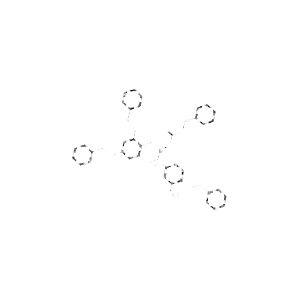 O=C(OCc1ccccc1)O[C@@H]1Cc2c(OCc3ccccc3)cc(OCc3ccccc3)cc2O[C@@H]1c1ccc(OCc2ccccc2)c(O)c1